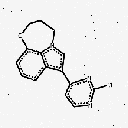 Clc1nccc(-c2cn3c4c(cccc24)OCCC3)n1